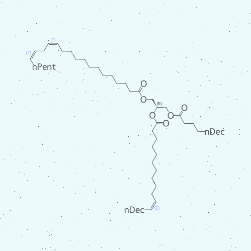 CCCCC/C=C\C/C=C\CCCCCCCCCCCC(=O)OC[C@@H](COC(=O)CCCCCCCCCCCCC)OC(=O)CCCCCCCCC/C=C\CCCCCCCCCC